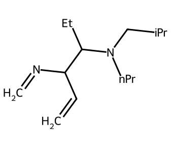 C=CC(N=C)C(CC)N(CCC)CC(C)C